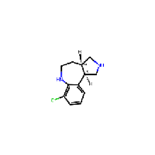 Clc1cccc2c1NCC[C@@H]1CNC[C@@H]21